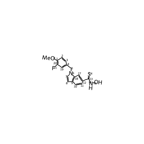 COc1ccc(Cn2ccc3ccc(C(=S)NO)cc32)cc1F